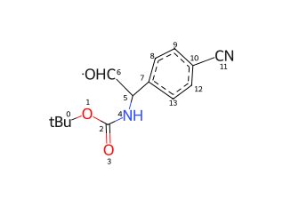 CC(C)(C)OC(=O)NC([C]=O)c1ccc(C#N)cc1